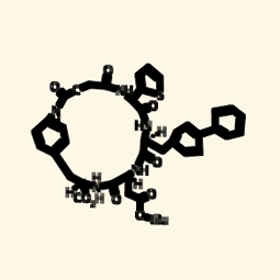 CC(C)(C)OC(=O)C[C@@H]1NC(=O)[C@H](Cc2ccc(-c3ccccc3)cc2)NC(=O)C(c2cccs2)NC(=O)CCC(=O)Nc2ccc(cc2)C[C@@H](C(=O)O)NC1=O